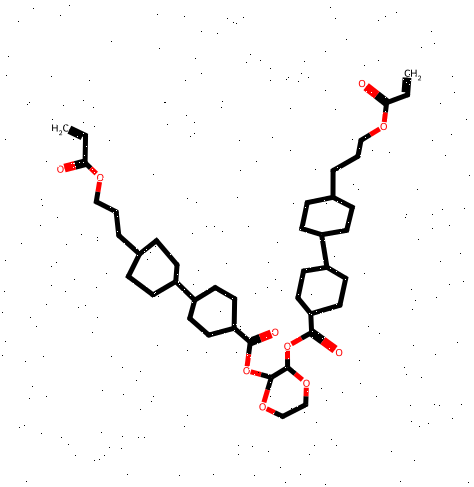 C=CC(=O)OCCCC1CCC(C2CCC(C(=O)OC3OCCOC3OC(=O)C3CCC(C4CCC(CCCOC(=O)C=C)CC4)CC3)CC2)CC1